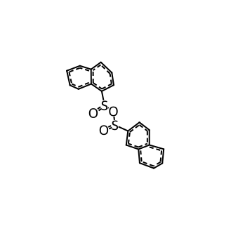 O=S(OS(=O)c1cccc2ccccc12)c1ccc2ccccc2c1